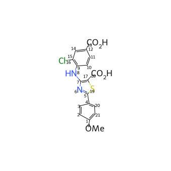 COc1ccc(-c2nc(Nc3ccc(C(=O)O)cc3Cl)c(C(=O)O)s2)cc1